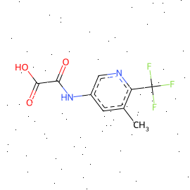 Cc1cc(NC(=O)C(=O)O)cnc1C(F)(F)F